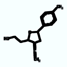 C=C=C1CC(c2ccc(C)cc2)OC1CCO